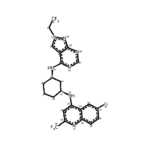 FC(F)(F)Cn1cc2c(N[C@@H]3CCC[C@H](Nc4cc(C(F)(F)F)nc5ccc(Cl)cc45)C3)ncnc2n1